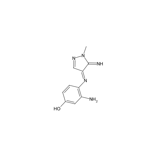 CN1N=CC(=Nc2ccc(O)cc2N)C1=N